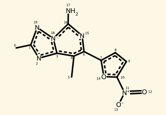 Cc1nc2c(C)c(-c3ccc([N+](=O)[O-])o3)nc(N)n2n1